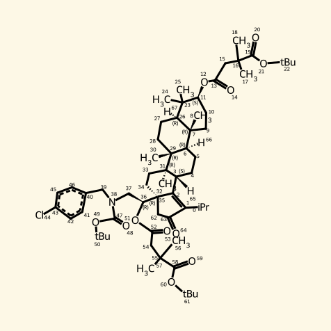 CC(C)C1=C2[C@H]3CC[C@@H]4[C@@]5(C)CC[C@H](OC(=O)CC(C)(C)C(=O)OC(C)(C)C)C(C)(C)[C@@H]5CC[C@@]4(C)[C@]3(C)CC[C@@]2([C@H](CN(Cc2ccc(Cl)cc2)C(=O)OC(C)(C)C)OC(=O)CC(C)(C)C(=O)OC(C)(C)C)CC1=O